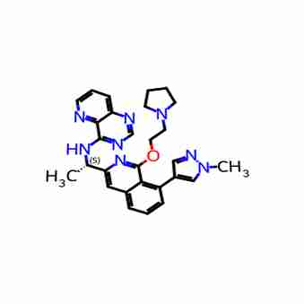 C[C@H](Nc1ncnc2cccnc12)c1cc2cccc(-c3cnn(C)c3)c2c(OCCN2CCCC2)n1